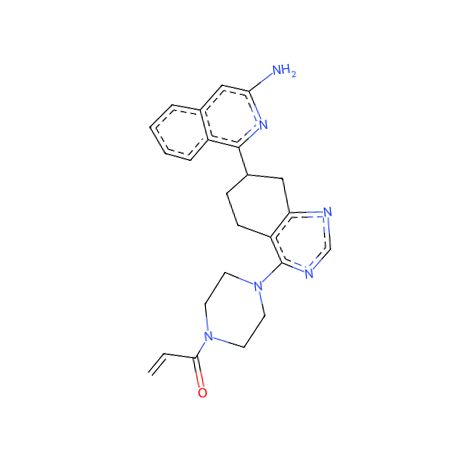 C=CC(=O)N1CCN(c2ncnc3c2CCC(c2nc(N)cc4ccccc24)C3)CC1